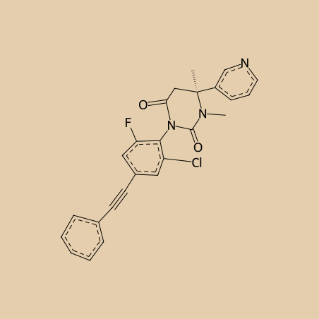 CN1C(=O)N(c2c(F)cc(C#Cc3ccccc3)cc2Cl)C(=O)C[C@@]1(C)c1cccnc1